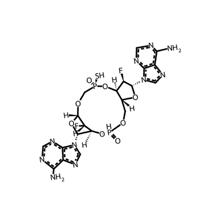 Nc1ncnc2c1ncn2[C@@H]1O[C@@H]2CO[PH](=O)O[C@@H]3[C@H](F)[C@@H](OC[P@@](=O)(S)O[C@H]2[C@H]1F)O[C@H]3n1cnc2c(N)ncnc21